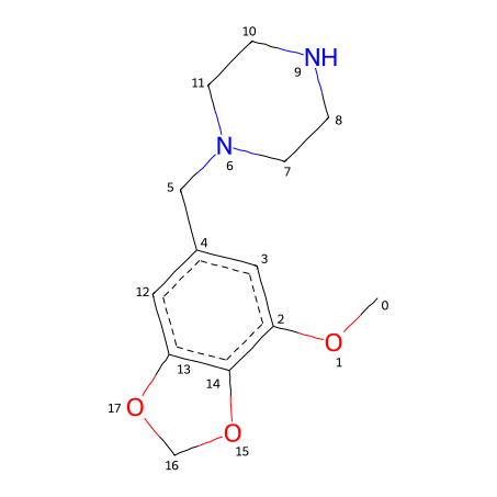 COc1cc(CN2CCNCC2)cc2c1OCO2